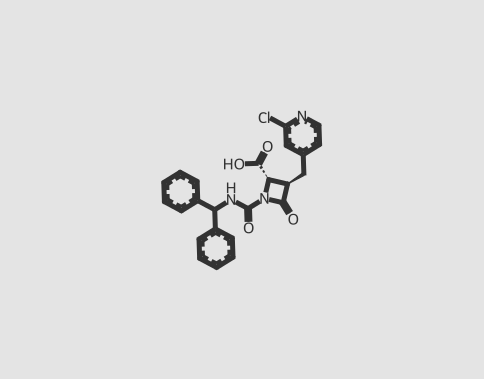 O=C(O)[C@@H]1[C@@H](Cc2ccnc(Cl)c2)C(=O)N1C(=O)NC(c1ccccc1)c1ccccc1